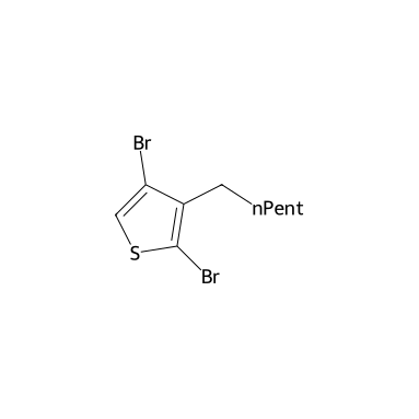 CCCCCCc1c(Br)csc1Br